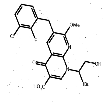 COc1nc2c(cc1Cc1cccc(Cl)c1F)c(=O)c(C(=O)O)cn2C(CO)C(C)(C)C